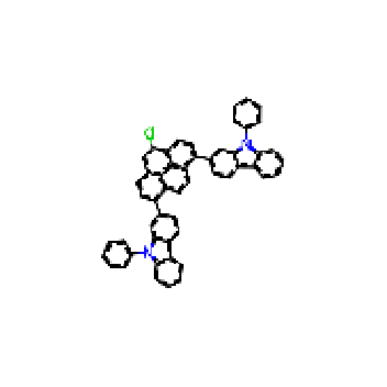 Clc1cc2ccc(-c3ccc4c5ccccc5n(-c5ccccc5)c4c3)c3ccc4c(-c5ccc6c7ccccc7n(-c7ccccc7)c6c5)ccc1c4c23